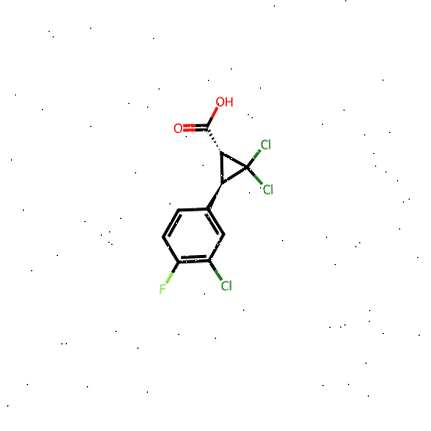 O=C(O)[C@H]1[C@H](c2ccc(F)c(Cl)c2)C1(Cl)Cl